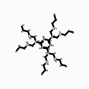 CCCOCN(COCCC)c1nc(N(COCCC)COCCC)nc(N(COCCC)COCCC)n1